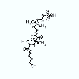 CCCCOC(=O)C(C)CC(C)(C)C(=O)OCC[N+](C)(C)CCCS(=O)(=O)O